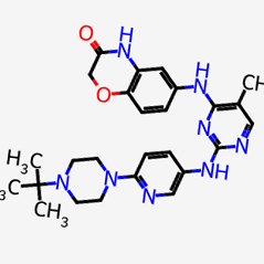 Cc1cnc(Nc2ccc(N3CCN(C(C)(C)C)CC3)nc2)nc1Nc1ccc2c(c1)NC(=O)CO2